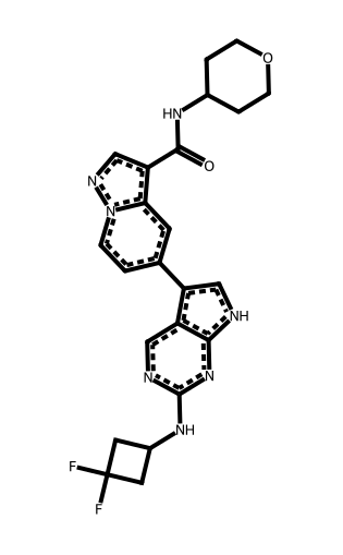 O=C(NC1CCOCC1)c1cnn2ccc(-c3c[nH]c4nc(NC5CC(F)(F)C5)ncc34)cc12